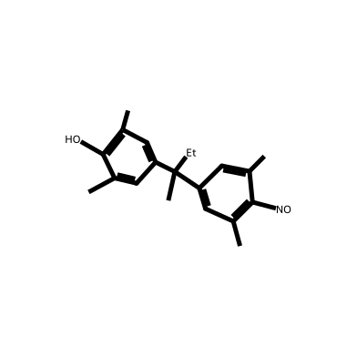 CCC(C)(c1cc(C)c(O)c(C)c1)c1cc(C)c(N=O)c(C)c1